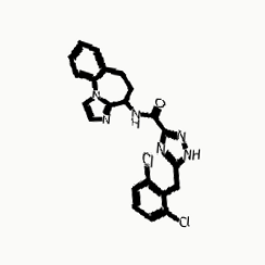 O=C(NC1CCc2ccccc2-n2ccnc21)c1n[nH]c(Cc2c(Cl)cccc2Cl)n1